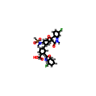 CNC(=O)c1c(-c2ccc(F)cc2)oc2cc(N(C)S(C)(=O)=O)c(-c3ccc(C(=O)O)c(-c4nc5c(F)cccc5o4)c3)cc12